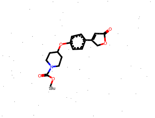 CC(C)(C)OC(=O)N1CCC(Oc2ccc(C3=CC(=O)OC3)cc2)CC1